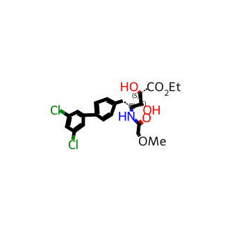 CCOC(=O)[C@@H](O)[C@@H](O)[C@@H](Cc1ccc(-c2cc(Cl)cc(Cl)c2)cc1)NC(=O)COC